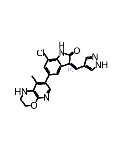 Cc1c(-c2cc(Cl)c3c(c2)/C(=C/c2cn[nH]c2)C(=O)N3)cnc2c1NCCO2